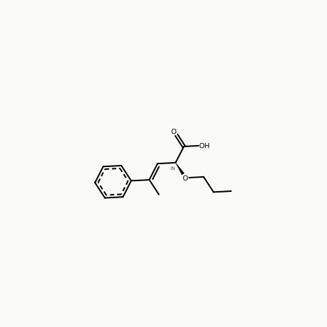 CCCO[C@@H](C=C(C)c1ccccc1)C(=O)O